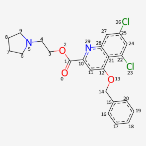 O=C(OCCN1CCCC1)c1cc(OCc2ccccc2)c2c(Cl)cc(Cl)cc2n1